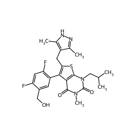 Cc1n[nH]c(C)c1Cc1sc2c(c1-c1cc(CO)c(F)cc1F)c(=O)n(C)c(=O)n2CC(C)C